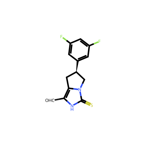 O=Cc1[nH]c(=S)n2c1C[C@@H](c1cc(F)cc(F)c1)C2